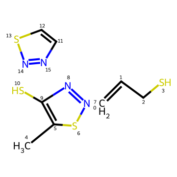 C=CCS.Cc1snnc1S.c1csnn1